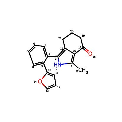 Cc1[nH]c(-c2ccccc2-c2ccco2)c2c1C(=O)CCC2